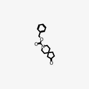 O=C1CCC2(CCN(C(=O)OCc3ccccc3)CC2)C1